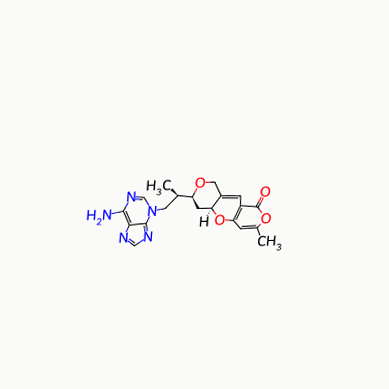 Cc1cc2c(c(=O)o1)C=C1CO[C@H]([C@H](C)Cn3cnc(N)c4ncnc3-4)C[C@@H]1O2